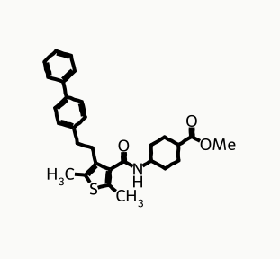 COC(=O)C1CCC(NC(=O)c2c(C)sc(C)c2CCc2ccc(-c3ccccc3)cc2)CC1